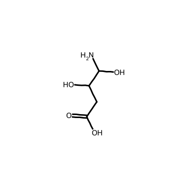 NC(O)C(O)CC(=O)O